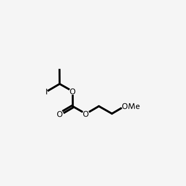 COCCOC(=O)OC(C)I